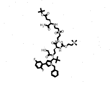 CC(C)(C)OC(=O)CC[C@@H](NCCS(=O)(=O)CCNC(=O)[C@H](CCN(C(=O)CO)[C@@H](c1cc(-c2cc(F)ccc2F)cn1Cc1ccccc1)C(C)(C)C)NC(=O)OCC[Si](C)(C)C)C(N)=O